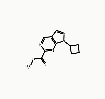 COC(=O)c1ncc2cnn(C3CCC3)c2n1